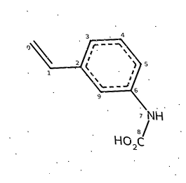 C=Cc1cccc(NC(=O)O)c1